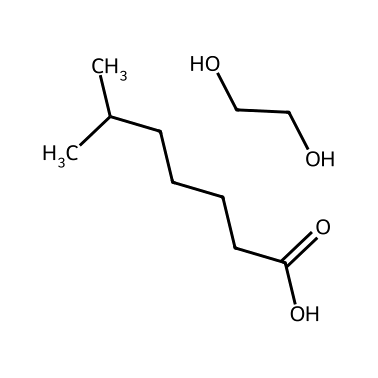 CC(C)CCCCC(=O)O.OCCO